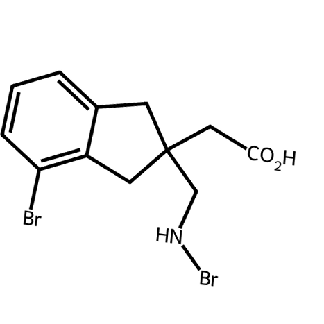 O=C(O)CC1(CNBr)Cc2cccc(Br)c2C1